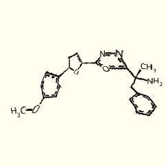 COc1ccc([C@H]2CC=C(c3nnc([C@](C)(N)Cc4ccccc4)o3)O2)cc1